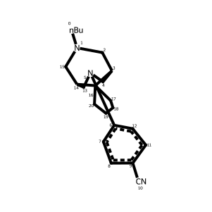 CCCCN1CC2CN(c3ccc(C#N)cc3)CC(C1)C21CCCC1